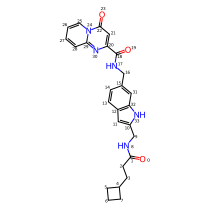 O=C(CCC1CCC1)NCc1cc2ccc(CNC(=O)c3cc(=O)n4ccccc4n3)cc2[nH]1